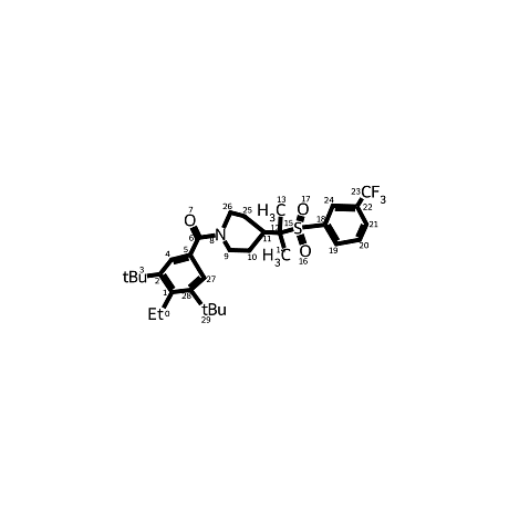 CCc1c(C(C)(C)C)cc(C(=O)N2CCC(C(C)(C)S(=O)(=O)c3cccc(C(F)(F)F)c3)CC2)cc1C(C)(C)C